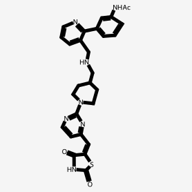 CC(=O)Nc1cccc(-c2ncccc2CNCC2CCN(c3nccc(C=C4SC(=O)NC4=O)n3)CC2)c1